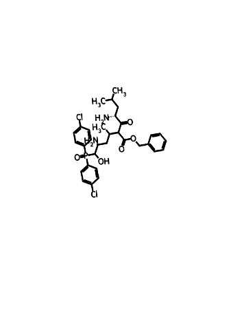 CC(C)C[C@@H](N)C(=O)C(C(=O)OCc1ccccc1)C(C)CC(N)C(O)P(=O)(c1ccc(Cl)cc1)c1ccc(Cl)cc1